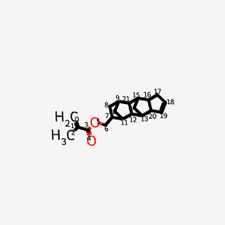 C=C(C)C(=O)OCC1CC2CC1C1C3CC(C4CC=CC43)C21